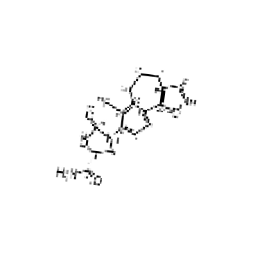 NC(=O)[C@H]1CN(c2ccc3c(c2F)CCCc2cnoc2-3)C(=O)O1